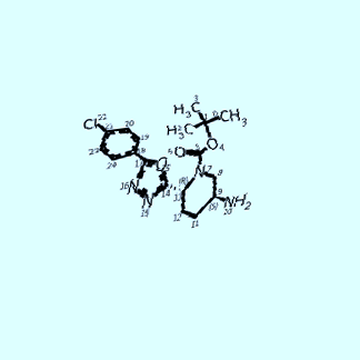 CC(C)(C)OC(=O)N1C[C@@H](N)CC[C@@H]1c1nnc(-c2ccc(Cl)cc2)o1